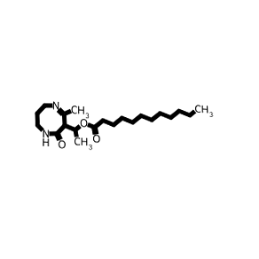 CCCCCCCCCCCC(=O)OC(C)C1C(=O)NCCCN=C1C